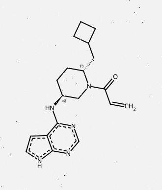 C=CC(=O)N1C[C@@H](Nc2ncnc3[nH]ccc23)CC[C@@H]1CC1CCC1